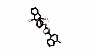 Cc1ccc(-c2csc(NC(=O)C3(N)CC4(Cl)c5ccccc5C3c3ccccc34)n2)c2ccccc12